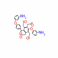 Nc1cccc(Oc2ccc(C(=O)c3c(CC4CO4)c(CC4CO4)c(Oc4cccc(N)c4)c(CC4CO4)c3CC3CO3)cc2)c1